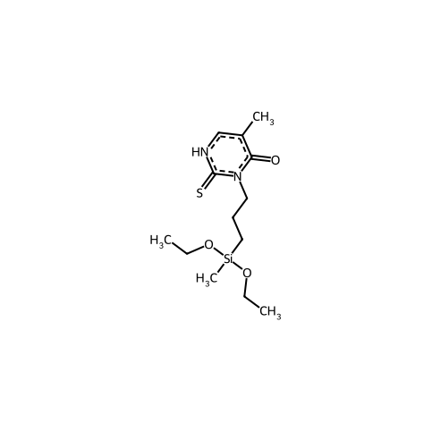 CCO[Si](C)(CCCn1c(=S)[nH]cc(C)c1=O)OCC